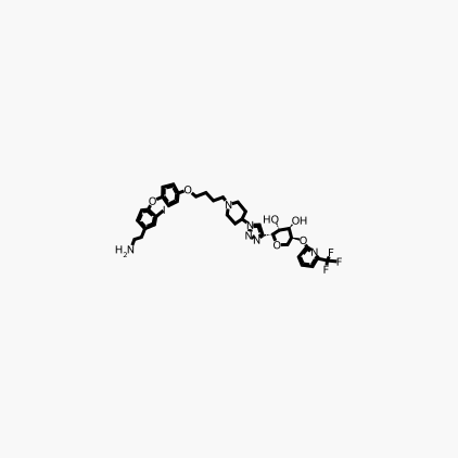 NCCc1ccc(Oc2ccc(OCCCCN3CCC(n4cc([C@H]5OC[C@H](Oc6cccc(C(F)(F)F)n6)[C@@H](O)[C@H]5O)nn4)CC3)cc2)c(I)c1